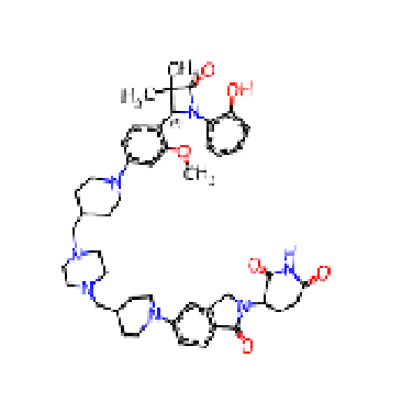 COc1cc(N2CCC(CN3CCN(CC4CCN(c5ccc6c(c5)CN(C5CCC(=O)NC5=O)C6=O)CC4)CC3)CC2)ccc1[C@@H]1N(c2ccccc2O)C(=O)C1(C)C